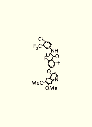 COc1cc2nccc(Oc3cc(F)c(C(=O)C(=O)Nc4ccc(Cl)c(C(F)(F)F)c4)c(F)c3)c2cc1OC